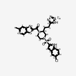 Cc1cc2c(cn1)SC(C(=O)N1CCN(S(=O)(=O)c3cc4cc(Cl)ccc4[nH]3)CC1CCc1nnn[nH]1)=[N+]2.[I-]